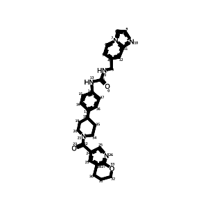 O=C(NCc1ccn2ccnc2c1)Nc1ccc(C2CCN(C(=O)c3cnc4c(c3)CCCO4)CC2)cc1